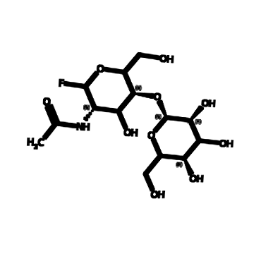 CC(=O)N[C@@H]1C(F)OC(CO)[C@@H](O[C@@H]2OC(CO)[C@H](O)C(O)[C@@H]2O)C1O